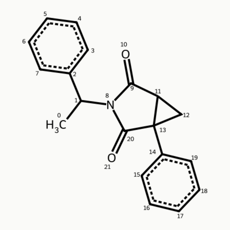 CC(c1ccccc1)N1C(=O)C2CC2(c2ccccc2)C1=O